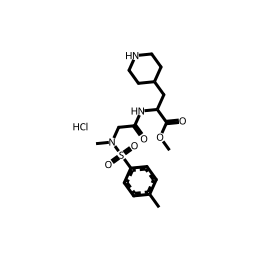 COC(=O)C(CC1CCNCC1)NC(=O)CN(C)S(=O)(=O)c1ccc(C)cc1.Cl